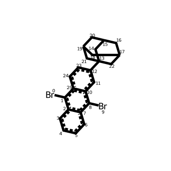 Brc1c2ccccc2c(Br)c2cc(C34CC5CC(CC(C5)C3)C4)ccc12